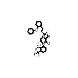 Cc1c(-n2ccn3c(SCc4ccccc4Oc4ccccc4)nnc3c2=O)cccc1C(F)(F)F